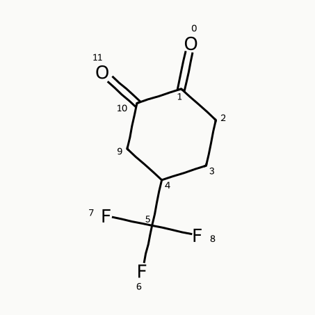 O=C1CCC(C(F)(F)F)CC1=O